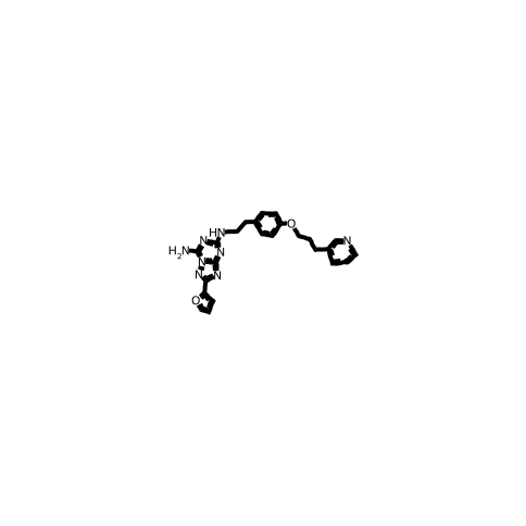 Nc1nc(NCCc2ccc(OCCCc3cccnc3)cc2)nc2nc(-c3ccco3)nn12